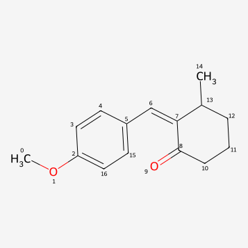 COc1ccc(C=C2C(=O)CCCC2C)cc1